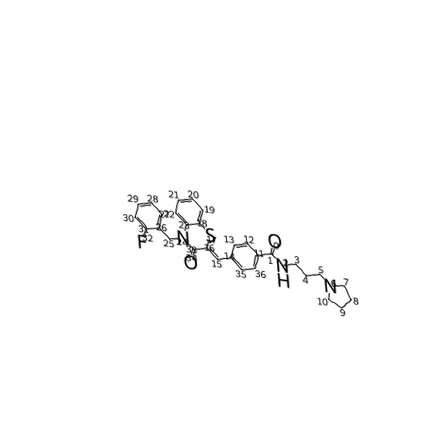 O=C(NCCCN1CCCC1)c1ccc(/C=C2\Sc3ccccc3N(Cc3ccccc3F)C2=O)cc1